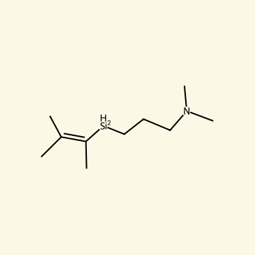 CC(C)=C(C)[SiH2]CCCN(C)C